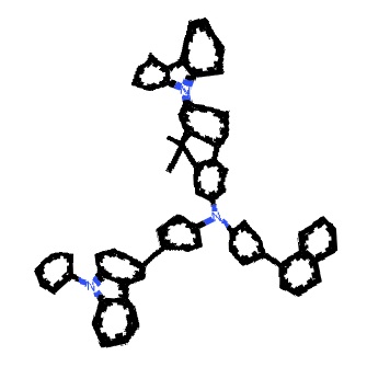 CC1(C)c2cc(N(c3ccc(-c4ccc5c(c4)c4ccccc4n5-c4ccccc4)cc3)c3ccc(-c4cccc5ccccc45)cc3)ccc2-c2ccc(-n3c4ccccc4c4ccccc43)cc21